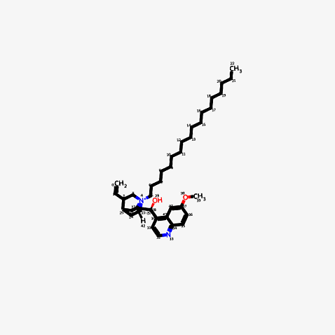 C=CC1C[N+]2(CCCCCCCCCCCCCCCCCC)CCC1C[C@H]2[C@@H](O)c1ccnc2ccc(OC)cc12